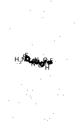 CC(F)(F)CNC(=O)C1CCOC(c2cnn3cc(CC4CCC(F)(F)C(N)C4)nc3c2)C1